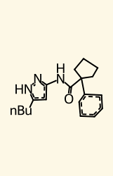 CCCCc1cc(NC(=O)C2(c3ccccc3)CCCC2)n[nH]1